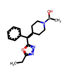 CCc1nnc(C(=C2CCN(B(C)O)CC2)c2ccccc2)o1